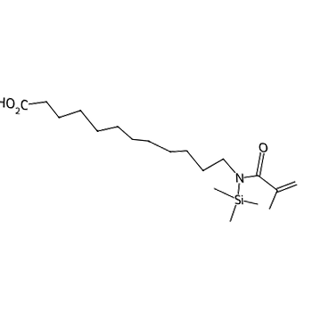 C=C(C)C(=O)N(CCCCCCCCCCCC(=O)O)[Si](C)(C)C